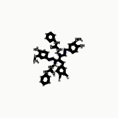 COc1cc(/C=C/C(=N\NC(=O)Nc2ccccc2)C(=Cc2ccc(F)c(F)c2)C(/C=C/c2ccc(O)c(OC)c2)=N/NC(=O)Nc2ccccc2)ccc1O